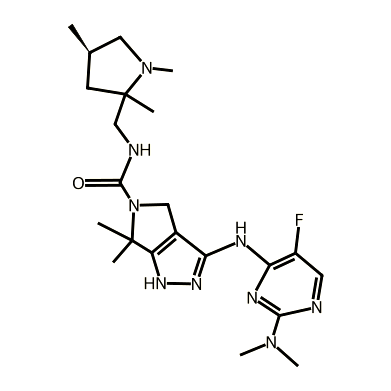 C[C@H]1CN(C)C(C)(CNC(=O)N2Cc3c(Nc4nc(N(C)C)ncc4F)n[nH]c3C2(C)C)C1